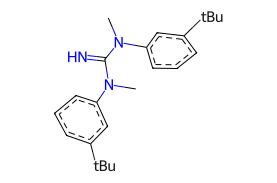 CN(C(=N)N(C)c1cccc(C(C)(C)C)c1)c1cccc(C(C)(C)C)c1